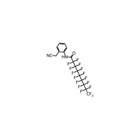 N#CCc1ccccc1NC(=O)C(F)(F)C(F)(F)C(F)(F)C(F)(F)C(F)(F)C(F)(F)C(F)(F)C(F)(F)F